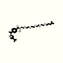 CC(C)CCCOCCOCCOCCOCCOCCNC(=O)c1ccc(C(C)n2cc(C(C)C)cn2)cc1